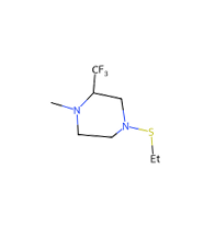 CCSN1CCN(C)C(C(F)(F)F)C1